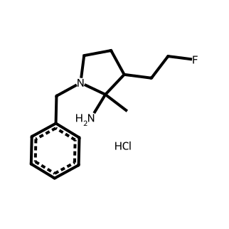 CC1(N)C(CCF)CCN1Cc1ccccc1.Cl